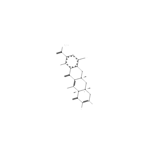 COC(=O)c1cc(C(C)C)c2c(c1O)C(=O)C1=C(C)[C@@]3(O)C(=O)C(C(C)=O)=C(O)C[C@H]3C[C@H]1C2